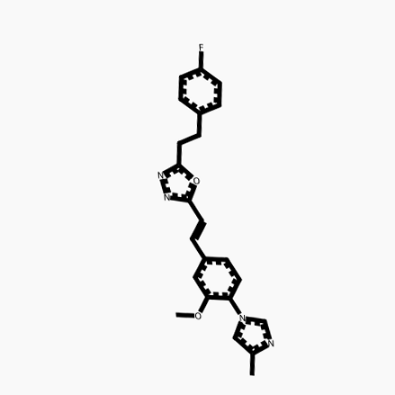 COc1cc(C=Cc2nnc(CCc3ccc(F)cc3)o2)ccc1-n1cnc(C)c1